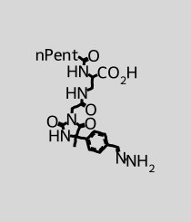 CCCCCC(=O)NC(CNC(=O)CN1C(=O)NC(C)(c2ccc(C=NN)cc2)C1=O)C(=O)O